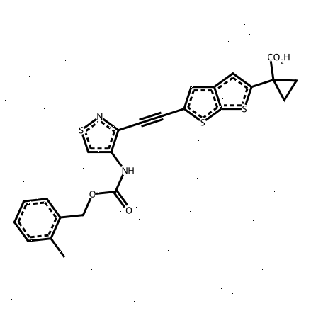 Cc1ccccc1COC(=O)Nc1csnc1C#Cc1cc2cc(C3(C(=O)O)CC3)sc2s1